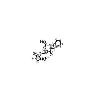 O=C(O)N[C@@H](Cc1ccccc1)C(=O)N[C@H](CO)CC1CCNC1=O